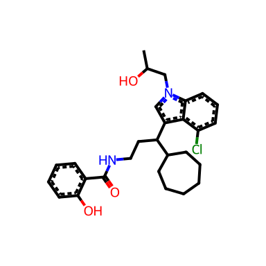 CC(O)Cn1cc(C(CCNC(=O)c2ccccc2O)C2CCCCCC2)c2c(Cl)cccc21